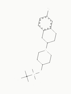 CC(C)(C)[Si](C)(C)OC1CCN(C2CCc3cc(N)ccc3C2)CC1